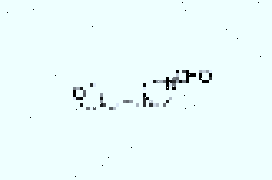 O=CN1CCN(CCCC2CCOCC2)CC1